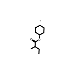 CCC(C)C(=O)O[C@H]1CC[C@H](C)CC1